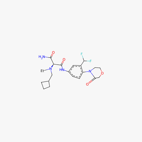 CCN(CC1CCC1)[C@@H](C(N)=O)C(=O)Nc1ccc(N2CCOCC2=O)c(C(F)F)c1